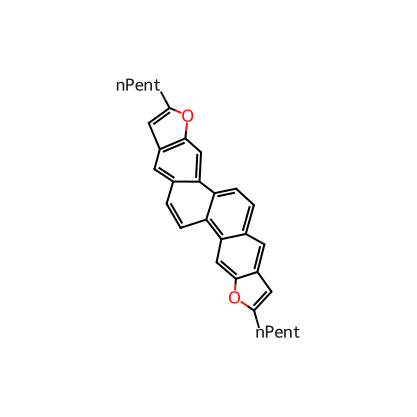 CCCCCc1cc2cc3ccc4c5cc6oc(CCCCC)cc6cc5ccc4c3cc2o1